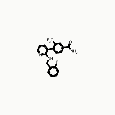 NC(=O)c1ccc(-c2cccnc2NCc2ccccc2F)c(C(F)(F)F)c1